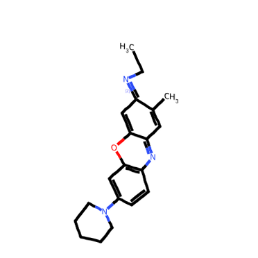 CC/N=c1/cc2oc3cc(N4CCCCC4)ccc3nc-2cc1C